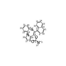 CN(C)C(=O)OC1=C(c2cccc3ccccc23)Sc2ccccc2-n2cccc21